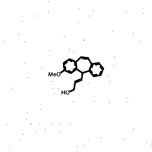 COc1ccc2c(c1)C(C=CCO)c1ccccc1C=C2